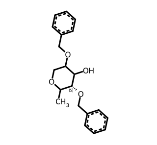 CC1OCC(OCc2ccccc2)C(O)[C@@H]1OCc1ccccc1